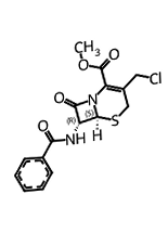 COC(=O)C1=C(CCl)CS[C@H]2[C@H](NC(=O)c3ccccc3)C(=O)N12